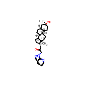 C[C@@]1(O)CC[C@H]2[C@H](CC[C@@H]3[C@@H]2CC[C@]2(C)[C@@H](CC(=O)Cn4ncc5cccnc54)CC[C@@H]32)C1